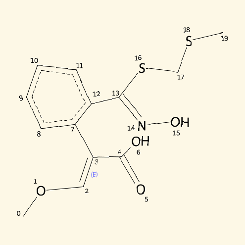 CO/C=C(/C(=O)O)c1ccccc1C(=NO)SCSC